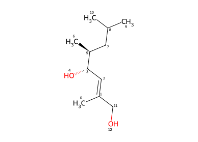 C/C(=C\[C@H](O)[C@@H](C)CC(C)C)CO